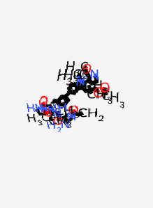 C=CC(=O)N1C[C@@H](N)[C@H](C(=O)N(C)[C@H](C(=O)N[C@@H](Cc2cccc(-c3ccc4c(c3)c(CC(C)(C)COC(C)=O)c(-c3cccnc3[C@H](C)OC)n4CC)c2)C(=O)N2CCCCN2)C(C)C)C1